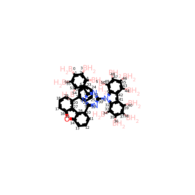 Bc1c(B)c(B)c(-c2nc(-c3cccc4oc5cccc(-c6ccccc6)c5c34)nc(-n3c4c(B)c(B)c(B)c(B)c4c4c(B)c(B)c(B)c(B)c43)n2)c(B)c1B